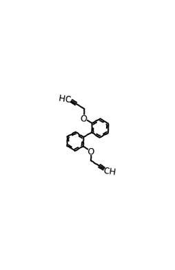 C#CCOc1ccccc1-c1ccccc1OCC#C